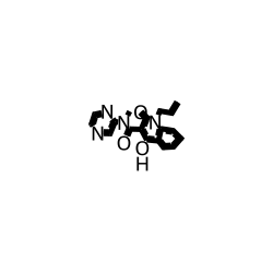 C=CCn1c(=O)c(C(=O)N(C)c2cnccn2)c(O)c2ccccc21